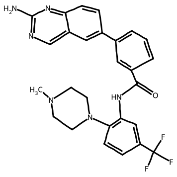 CN1CCN(c2ccc(C(F)(F)F)cc2NC(=O)c2cccc(-c3ccc4nc(N)ncc4c3)c2)CC1